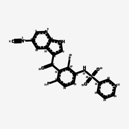 [C-]#[N+]c1cnc2[nH]cc(C(=O)c3c(F)ccc(NS(=O)(=O)c4cccnc4)c3F)c2c1